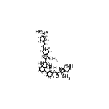 Cn1c(C(=O)Nc2cccc(-c3cccc(NC(=O)c4nc5c(n4C)CCNC5)c3C#N)c2Cl)nc2c1CCN(CCC13CCC(C(=O)O)(CC1)C3)C2